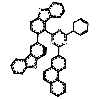 c1c(-c2ccc3oc4ccccc4c3c2-c2nc(-c3ccc4c(ccc5ccccc54)c3)nc(C3C=CC=CC3)n2)cc2c(c#1)oc1ccccc12